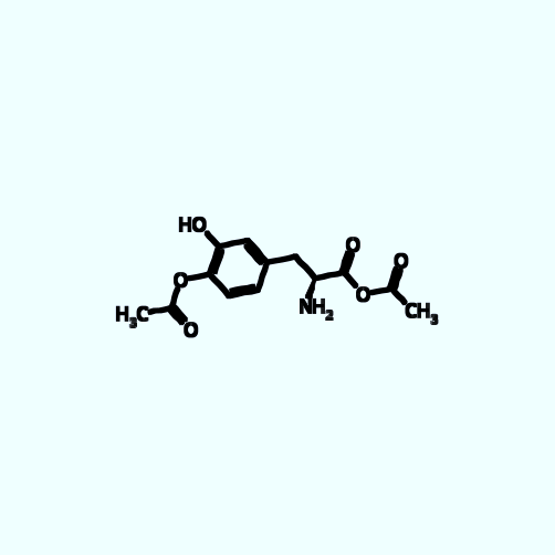 CC(=O)OC(=O)[C@@H](N)Cc1ccc(OC(C)=O)c(O)c1